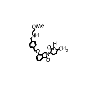 C=C1CCC(N2Cc3c(OCc4ccc(CNCCOC)cc4)cccc3C2=O)C(=O)N1